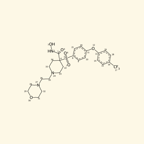 O=C(NO)C1(S(=O)(=O)c2ccc(Oc3ccc(C(F)(F)F)cc3)cc2)CCN(CCN2CCOCC2)CC1